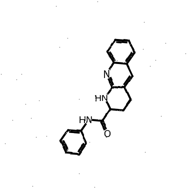 O=C(Nc1ccccc1)C1CCc2cc3ccccc3nc2N1